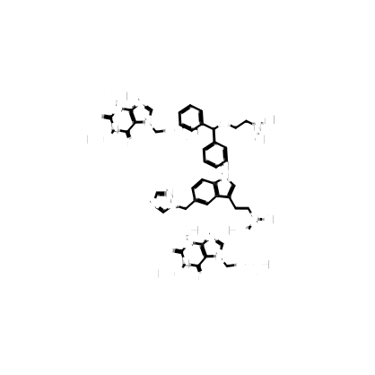 CN(C)CCOC(c1ccccc1)c1ccccc1.CN(C)CCc1c[nH]c2ccc(Cn3cncn3)cc12.Cn1c(=O)c2c(ncn2CC(=O)O)n(C)c1=O.Cn1c(=O)c2c(ncn2CC(=O)O)n(C)c1=O